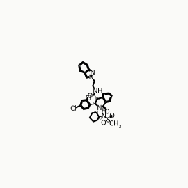 CS(=O)(=O)N[C@H]1CCCC[C@@H]1N1C(=O)c2ccccc2[C@@H](C(=O)NCCn2cc3ccccc3n2)[C@@H]1c1ccc(Cl)cc1Cl